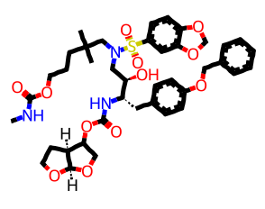 CNC(=O)OCCCC(C)(C)CN(C[C@@H](O)[C@H](Cc1ccc(OCc2ccccc2)cc1)NC(=O)OC1CO[C@H]2OCC[C@@H]12)S(=O)(=O)c1ccc2c(c1)OCO2